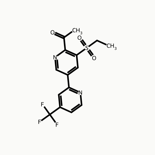 CCS(=O)(=O)c1cc(-c2cc(C(F)(F)F)ccn2)cnc1C(C)=O